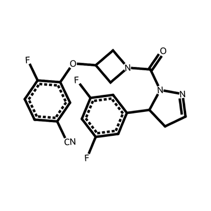 N#Cc1ccc(F)c(OC2CN(C(=O)N3N=CCC3c3cc(F)cc(F)c3)C2)c1